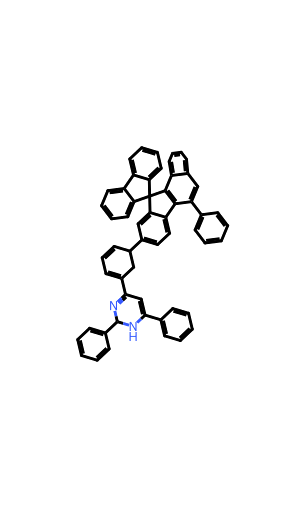 C1=CC(c2ccc3c(c2)C2(c4ccccc4-c4ccccc42)c2c-3c(-c3ccccc3)cc3ccccc23)CC(C2=NC(c3ccccc3)NC(c3ccccc3)=C2)=C1